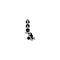 CCC1(n2c(C(=O)N(C)C)cc3cnc(Nc4ccc(N5CCC(N6CCN(C)CC6)CC5)cc4)nc32)CCC1